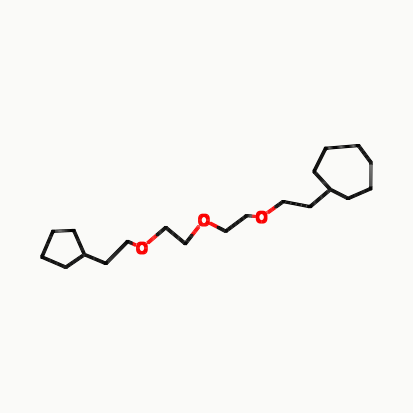 C1CCCC(CCOCCOCCOCCC2CCCC2)CC1